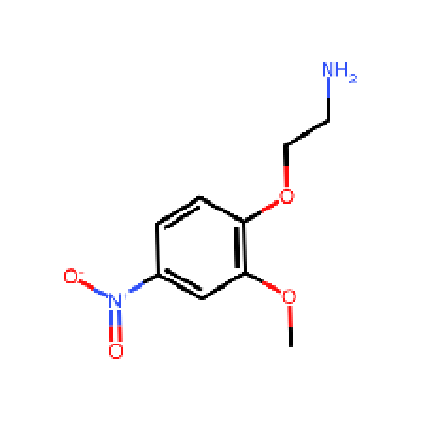 COc1cc([N+](=O)[O-])ccc1OCCN